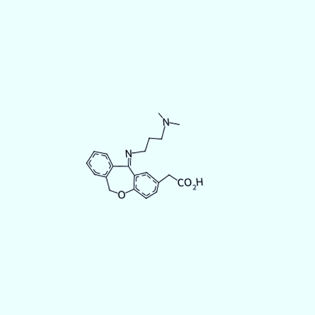 CN(C)CCC/N=C1/c2ccccc2COc2ccc(CC(=O)O)cc21